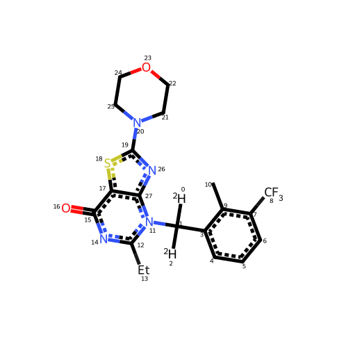 [2H]C([2H])(c1cccc(C(F)(F)F)c1C)n1c(CC)nc(=O)c2sc(N3CCOCC3)nc21